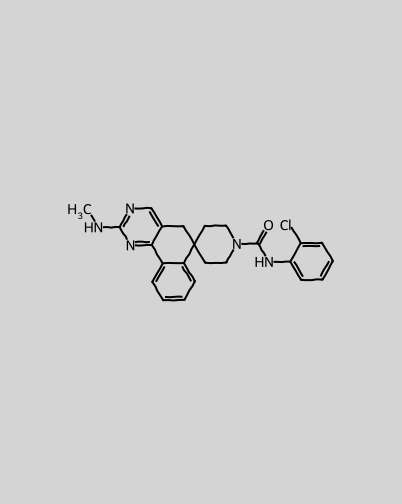 CNc1ncc2c(n1)-c1ccccc1C1(CCN(C(=O)Nc3ccccc3Cl)CC1)C2